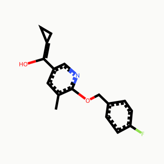 Cc1cc(C(O)=C2CC2)cnc1OCc1ccc(F)cc1